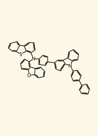 c1ccc(-c2ccc(-n3c4ccccc4c4cc(-c5ccc(N(c6cccc7c6sc6ccccc67)c6cccc7oc8ccccc8c67)cc5)ccc43)cc2)cc1